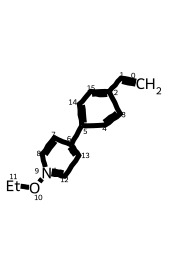 C=Cc1ccc(-c2cc[n+](OCC)cc2)cc1